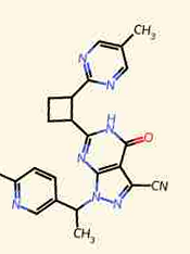 Cc1cnc(C2CCC2c2nc3c(c(C#N)nn3C(C)c3ccc(C(F)(F)F)nc3)c(=O)[nH]2)nc1